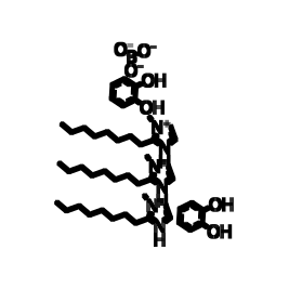 CCCCCCCCc1[nH]cc[n+]1C.CCCCCCCCc1[nH]cc[n+]1C.CCCCCCCCc1[nH]cc[n+]1C.Oc1ccccc1O.Oc1ccccc1O.[O-]B([O-])[O-]